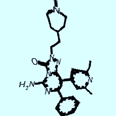 Cc1cc(-c2c(-c3ccccc3)nc(N)n3c(=O)n(CCC4CCN(C)CC4)nc23)cc(C)n1